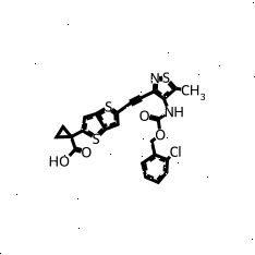 Cc1snc(C#Cc2cc3sc(C4(C(=O)O)CC4)cc3s2)c1NC(=O)OCc1ccccc1Cl